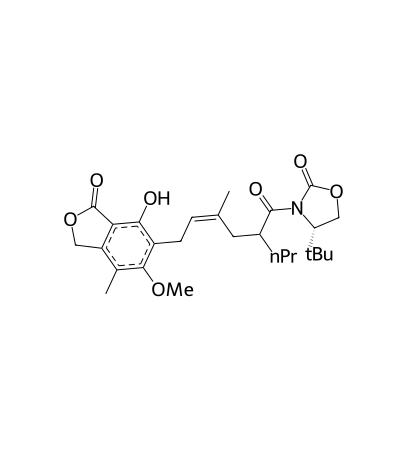 CCCC(CC(C)=CCc1c(O)c2c(c(C)c1OC)COC2=O)C(=O)N1C(=O)OC[C@@H]1C(C)(C)C